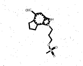 CS(=O)(=O)OCCCn1[nH]c2cc(C=O)c3c(c21)CCC3